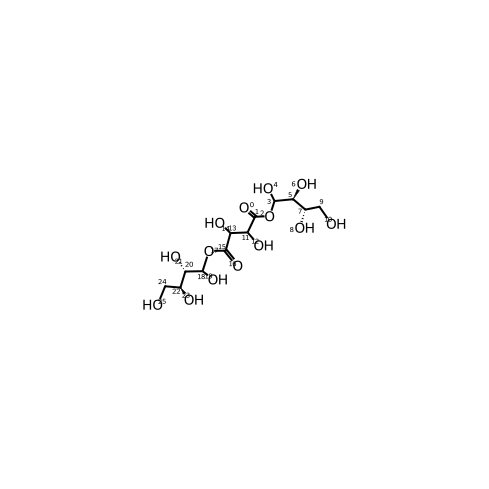 O=C(OC(O)[C@@H](O)[C@@H](O)CO)C(O)C(O)C(=O)OC(O)[C@@H](O)[C@@H](O)CO